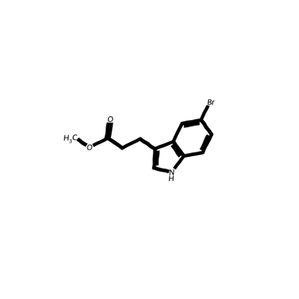 COC(=O)CCc1c[nH]c2ccc(Br)cc12